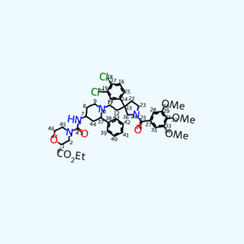 CCOC(=O)[C@H]1CN(C(=O)NC2CCN(CCC3(c4ccc(Cl)c(Cl)c4)CCN(C(=O)c4cc(OC)c(OC)c(OC)c4)C3)C(c3ccccc3)C2)CCO1